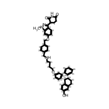 Cn1nc(C2CCC(=O)NC2=O)c2ccc(OCc3ccc(CNCCCCOc4ccc([C@H]5c6ccc(O)cc6CC[C@H]5c5ccccc5)cc4)cc3)cc21